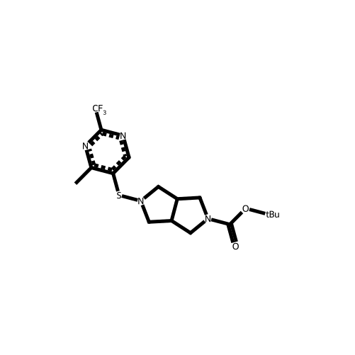 Cc1nc(C(F)(F)F)ncc1SN1CC2CN(C(=O)OC(C)(C)C)CC2C1